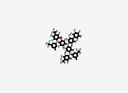 Cc1cc(N(c2c(F)c(F)c(N(c3c(F)c(F)c(-c4c(F)c(F)c(F)c(F)c4F)c(F)c3F)c3c(F)c(F)c(N(c4cc(C)cc(C(F)(F)F)c4)c4c(F)c(F)c(C(F)(F)F)c(F)c4F)c(F)c3F)c(F)c2F)c2c(F)c(F)c(C(F)(F)F)c(F)c2F)cc(C(F)(F)F)c1